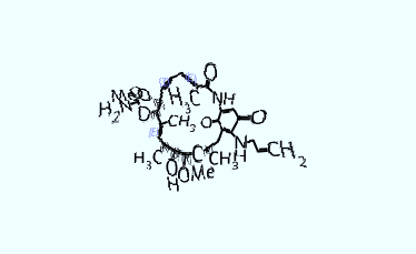 C=CCNC1=C2C[C@@H](C)C[C@@H](OC)[C@@H](O)[C@H](C)/C=C(\C)[C@@H](OC(N)=O)[C@H](OC)/C=C\C=C(/C)C(=O)NC(=CC1=O)C2=O